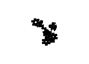 O=C(NCCC[N+]12CCC(CC1)[C@@H](OC(=O)C(O)(c1ccccc1)c1ccccc1)C2)C1CCCCC1.O=C([O-])C(F)(F)F